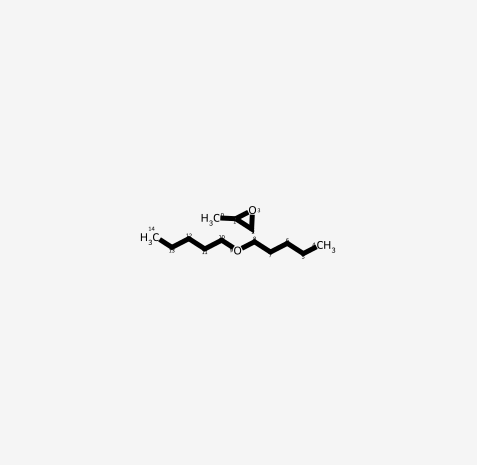 CC1CO1.CCCCCOCCCCC